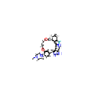 CN1CCN(c2ccc3cc2OCCCOCc2cccc(F)c2-c2cc4c-3n[nH]c4cn2)CC1